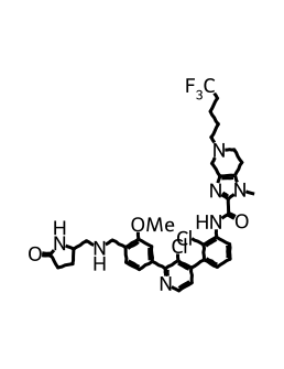 COc1cc(-c2nccc(-c3cccc(NC(=O)c4nc5c(n4C)CCN(CCCCC(F)(F)F)C5)c3Cl)c2Cl)ccc1CNCC1CCC(=O)N1